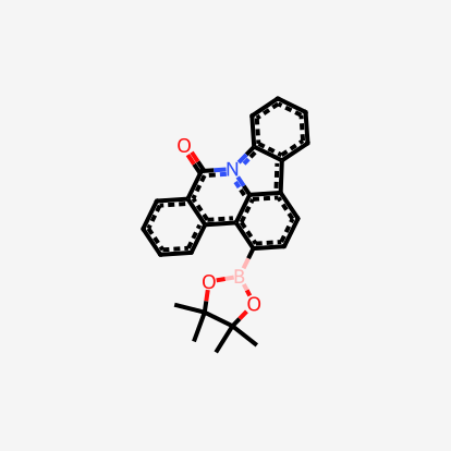 CC1(C)OB(c2ccc3c4ccccc4n4c(=O)c5ccccc5c2c34)OC1(C)C